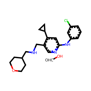 Clc1cccc(Nc2cc(C3CC3)c(CNCC3CCOCC3)cn2)c1.O=CO